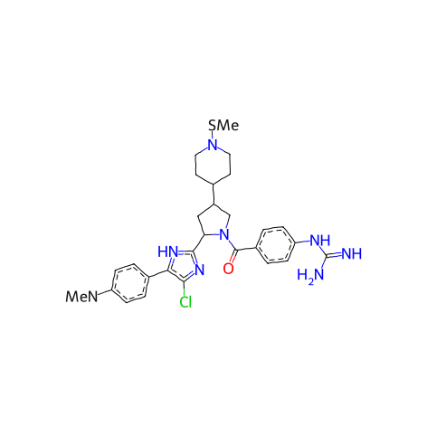 CNc1ccc(-c2[nH]c(C3CC(C4CCN(SC)CC4)CN3C(=O)c3ccc(NC(=N)N)cc3)nc2Cl)cc1